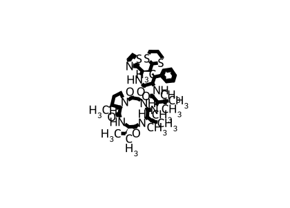 CC(C)[C@@H]1NC(=O)[C@@H]2[C@H](C)CCN2C(=O)CN/C(=N\C(C(=O)NC(C(=O)N[C@H](CC2SCCCS2)c2nccs2)[C@@H](C)c2ccccc2)C(C)(C)C)C(C(C)(C)C)NC1=O